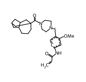 C=CC(=O)Nc1ccc(SN2CCN(C(=O)C34CCCC5CC(CC5C3)C4)CC2)c(OC)c1